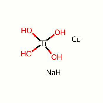 [Cu].[NaH].[OH][Ti]([OH])([OH])[OH]